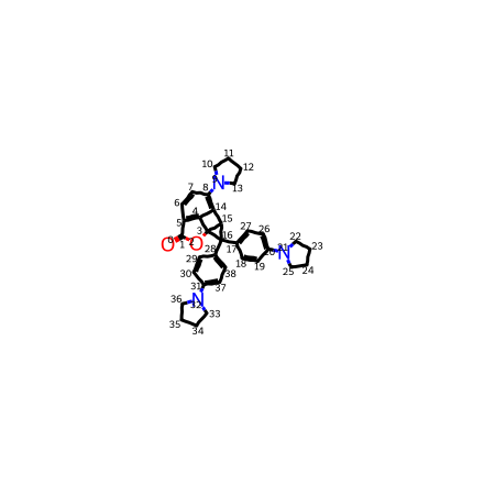 O=C1OC23c4c1ccc(N1CCCC1)c4C2C3(c1ccc(N2CCCC2)cc1)c1ccc(N2CCCC2)cc1